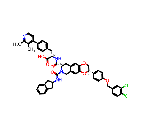 Cc1nccc(-c2ccc(C[C@H](NC(=O)[C@@H]3Cc4cc5c(cc4CN3C(=O)NC3Cc4ccccc4C3)O[C@@H](c3ccc(OCc4ccc(Cl)c(Cl)c4)cc3)CO5)C(=O)O)cc2)c1C